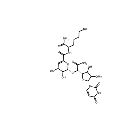 COC1C(O)[C@@H](C(O[C@H]2OC(C(=O)NC(CCCCN)C(N)=O)=CC(O)C2O)C(N)=O)O[C@H]1n1ccc(=O)[nH]c1=O